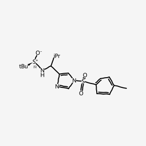 Cc1ccc(S(=O)(=O)n2cnc(C(N[S@+]([O-])C(C)(C)C)C(C)C)c2)cc1